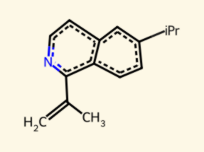 C=C(C)c1nccc2cc(C(C)C)ccc12